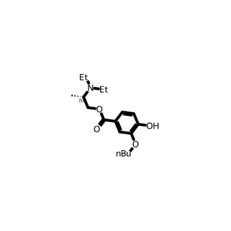 CCCCOc1cc(C(=O)OC[C@H](C)N(CC)CC)ccc1O